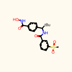 CC(C)(C)C(NC(=O)c1cccc(S(C)(=O)=O)c1)c1ccc(C(=O)NO)cc1